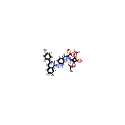 CCOC(=O)[C@H](Cc1ccc(Nc2nc(-c3ccc(F)cc3)cc3ccccc23)cc1)Nc1c(OC(C)C)c(=O)c1=O